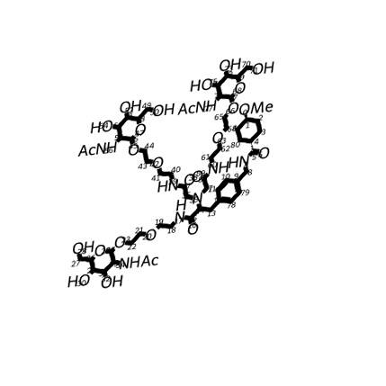 CO[C@H]1CC[C@H](C(=O)NCc2ccc(CC(C(=O)NCCOCCOC3OC(CO)C(O)C(O)C3NC(C)=O)N(CC(=O)NCCOCCOC3OC(CO)C(O)C(O)C3NC(C)=O)CC(=O)NCCOCCOC3OC(CO)C(O)C(O)C3NC(C)=O)cc2)CC1